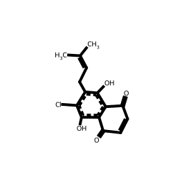 CC(C)=CCc1c(O)c2c(c(O)c1Cl)C(=O)C=CC2=O